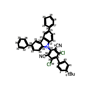 CC(C)(C)c1ccc(-c2c(Cl)c(C#N)c(-n3c4ccc(-c5ccccc5)cc4c4cc(-c5ccccc5)ccc43)c(C#N)c2Cl)cc1